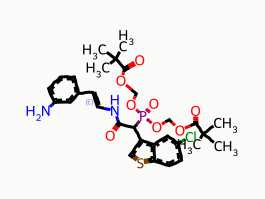 CC(C)(C)C(=O)OCOP(=O)(OCOC(=O)C(C)(C)C)C(C(=O)N/C=C/c1cccc(N)c1)c1csc2ccc(Cl)cc12